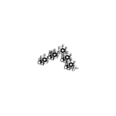 O=S(=O)(O)c1c(F)c(F)c(F)c(F)c1F.O=S(=O)([O-])c1c(F)c(F)c(F)c(F)c1F.O=S(=O)([O-])c1c(F)c(F)c(F)c(F)c1F.O=S(=O)([O-])c1c(F)c(F)c(F)c(F)c1F.O=S(=O)([O-])c1c(F)c(F)c(F)c(F)c1F.[Ti+4]